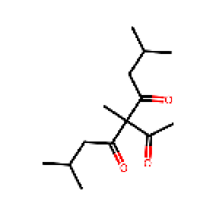 CC(=O)C(C)(C(=O)CC(C)C)C(=O)CC(C)C